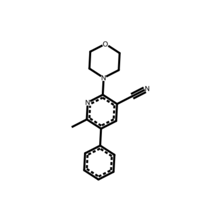 Cc1nc(N2CCOCC2)c(C#N)cc1-c1ccccc1